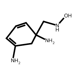 NC1=CC=CC(N)(CNO)C1